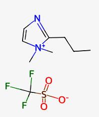 CCCC1=NC=C[N+]1(C)C.O=S(=O)([O-])C(F)(F)F